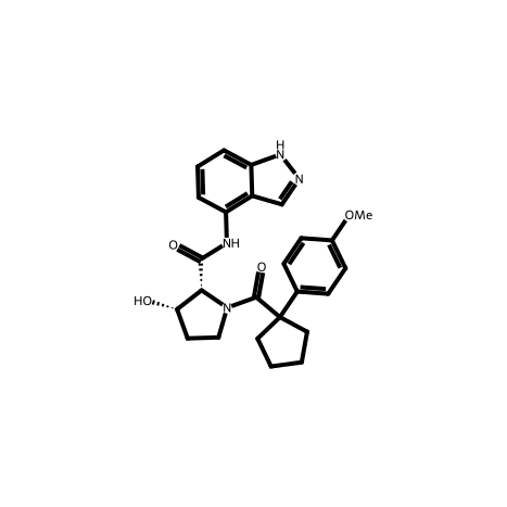 COc1ccc(C2(C(=O)N3CC[C@H](O)[C@@H]3C(=O)Nc3cccc4[nH]ncc34)CCCC2)cc1